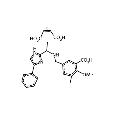 COc1c(C)cc(CNC(C)c2nc(-c3ccccc3)c[nH]2)cc1C(=O)O.O=C(O)/C=C\C(=O)O